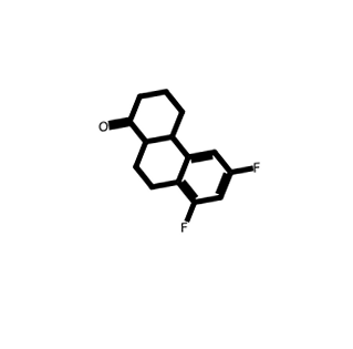 O=C1CCCC2c3cc(F)cc(F)c3CCC12